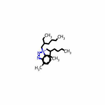 CCCCC(CC)C[N+]1(CC(CC)CCCC)N=Nc2c(C)cccc21